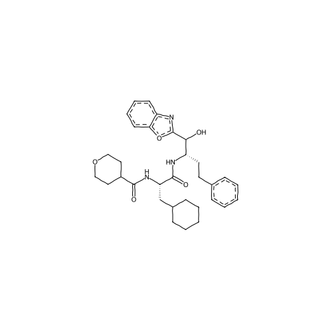 O=C(N[C@@H](CC1CCCCC1)C(=O)N[C@@H](CCc1ccccc1)C(O)c1nc2ccccc2o1)C1CCOCC1